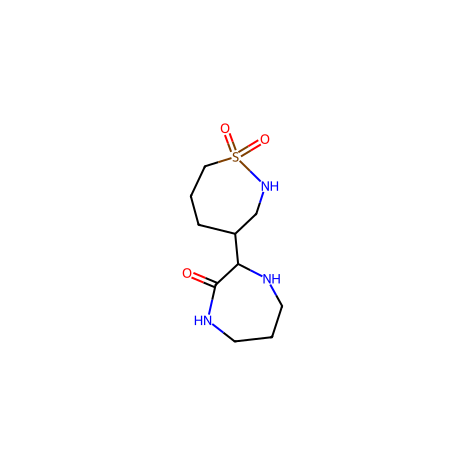 O=C1NCCCNC1C1CCCS(=O)(=O)NC1